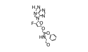 Nc1ncnc2c1ncn2C1OC(OCP(NCC=O)Oc2ccccc2)C=C1F